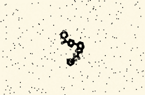 O=C(N[C@H]1CN2CCC1CC2)c1cc2cccc(-c3ccc(C(=O)N4CCOCC4)cc3)c2o1